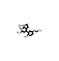 CCSc1ccc(O)c(-c2cc(C)[n+](OC)c3[nH]ccc23)c1